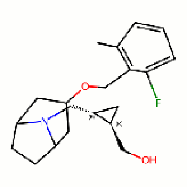 Cc1cccc(F)c1COC1CC2CCC(C1)N2C[C@@H]1C[C@H]1CO